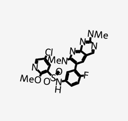 CNc1ncc2cc(-c3cc(NS(=O)(=O)c4cc(Cl)cnc4OC)ccc3F)c(NC)nc2n1